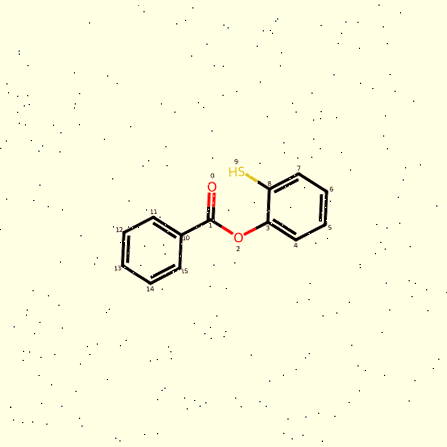 O=C(Oc1ccccc1S)c1ccccc1